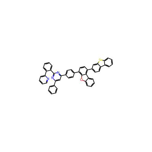 c1ccc(-c2cc(-c3ccc(-c4ccc(-c5ccc6c(c5)sc5ccccc56)c5c4oc4ccccc45)cc3)nc(-c3ccccc3-c3ccccn3)n2)cc1